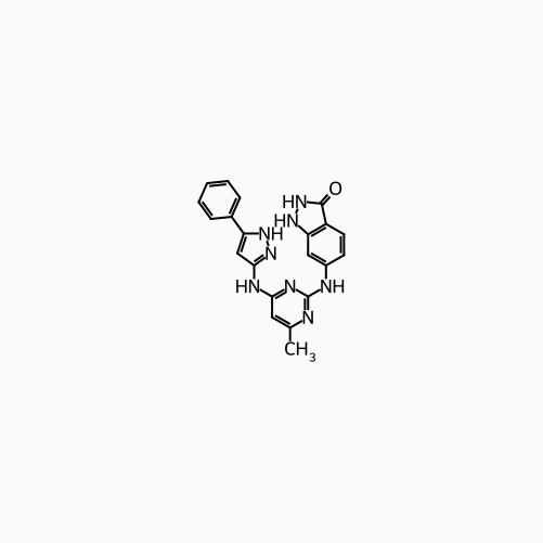 Cc1cc(Nc2cc(-c3ccccc3)[nH]n2)nc(Nc2ccc3c(=O)[nH][nH]c3c2)n1